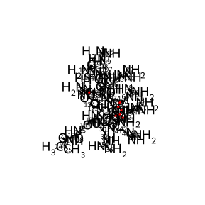 CC(=O)c1ccc(C[C@H](NC(=O)COCCNC(=O)CNC(=O)C(C)C)C(=O)N[C@H](CCCNC(=N)N)C(=O)N[C@H](CCCNC(=N)N)C(=O)N[C@H](CCCNC(=N)N)C(=O)N[C@H](CCCNC(=N)N)C(=O)N[C@H](CCCNC(=N)N)C(=O)N[C@H](CCCNC(=N)N)C(=O)N[C@H](CCCNC(=N)N)C(=O)N[C@H](CCCNC(=N)N)C(=O)N[C@H](CS)C(N)=O)cc1